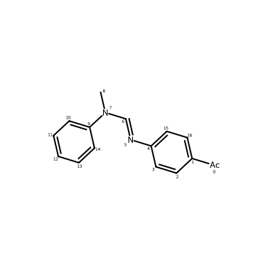 CC(=O)c1ccc(N=CN(C)c2ccccc2)cc1